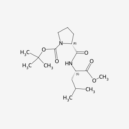 COC(=O)[C@H](CC(C)C)NC(=O)[C@H]1CCCN1C(=O)OC(C)(C)C